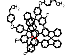 C=Cc1ccc(Oc2ccc(C3(c4cc(F)cc(F)c4F)c4ccccc4-c4ccc(N(c5ccc(F)cc5)c5ccc6c(c5)C5(c7ccccc7-6)c6ccccc6-c6ccc(N(c7ccc(F)cc7)c7ccc8c(c7)C(c7ccc(Oc9ccc(C=C)cc9)cc7)(c7cc(F)cc(F)c7F)c7ccccc7-8)cc65)cc43)cc2)cc1